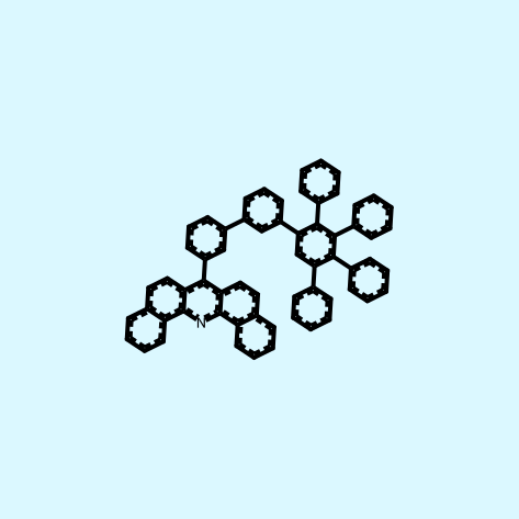 c1ccc(-c2cc(-c3cccc(-c4cccc(-c5c6ccc7ccccc7c6nc6c5ccc5ccccc56)c4)c3)c(-c3ccccc3)c(-c3ccccc3)c2-c2ccccc2)cc1